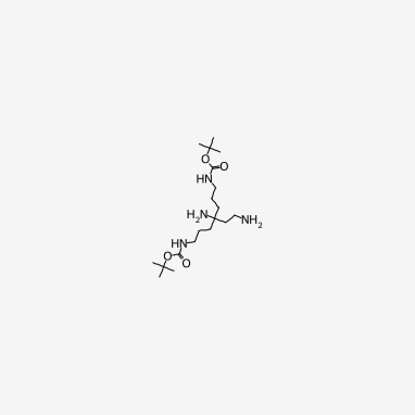 CC(C)(C)OC(=O)NCCCC(N)(CCN)CCCNC(=O)OC(C)(C)C